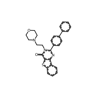 O=c1c2sc3ccccc3c2nc(-c2ccc(-c3ccccc3)cc2)n1CCN1CCOCC1